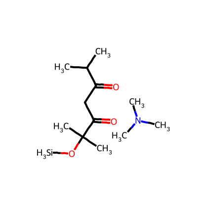 CC(C)C(=O)CC(=O)C(C)(C)O[SiH3].CN(C)C